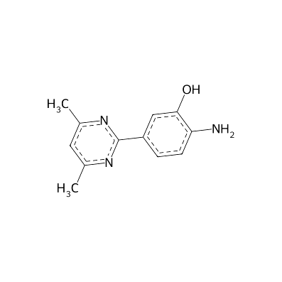 Cc1cc(C)nc(-c2ccc(N)c(O)c2)n1